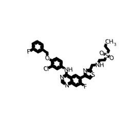 CCCS(=O)(=O)CCNCc1nc(-c2cc3c(Nc4ccc(OCc5cccc(F)c5)c(Cl)c4)ncnc3cc2F)cs1